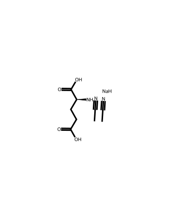 CC#N.CC#N.N[C@@H](CCC(=O)O)C(=O)O.[NaH]